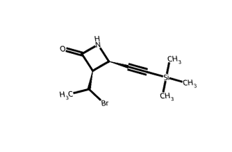 CC(Br)[C@H]1C(=O)N[C@H]1C#C[Si](C)(C)C